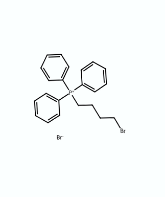 BrCCCC[P+](c1ccccc1)(c1ccccc1)c1ccccc1.[Br-]